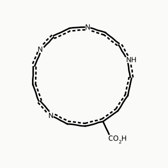 O=C(O)c1ccc[nH]ccnccncccncc1